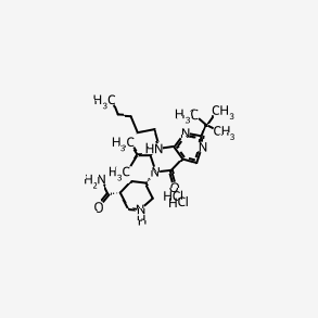 CCCCCNc1nc(C(C)(C)C)ncc1C(=O)N(CC(C)C)[C@@H]1CNC[C@H](C(N)=O)C1.Cl.Cl